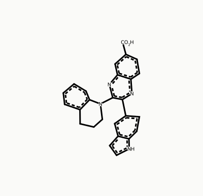 O=C(O)c1ccc2nc(-c3ccc4[nH]ccc4c3)c(N3CCCc4ccccc43)nc2c1